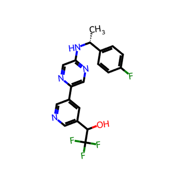 C[C@@H](Nc1cnc(-c2cncc(C(O)C(F)(F)F)c2)cn1)c1ccc(F)cc1